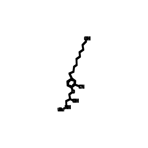 CC(C)(C)NC[C@H](O)COc1ccc(CCCCCCCCCCO)cc1C#N